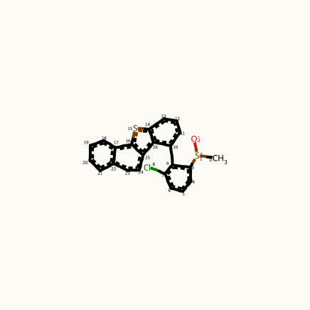 C[S+]([O-])c1cccc(Cl)c1-c1cccc2sc3c4ccccc4ccc3c12